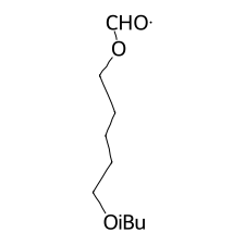 CC(C)COCCCCCO[C]=O